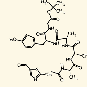 C[C@H](NC(=O)CNc1ncc(C=O)s1)C(=O)N[C@@H](C)C(=O)N[C@@H](C)C(=O)N[C@@H](Cc1ccc(O)cc1)C(=O)NCC(=O)OC(C)(C)C